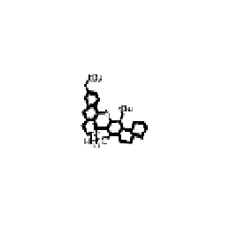 Cc1c2c(c(CC(C)(C)C)c3c1ccc1ccccc13)Sc1c3ccc(CC(C)(C)C)cc3cc3cc[n+](C)c-2c13